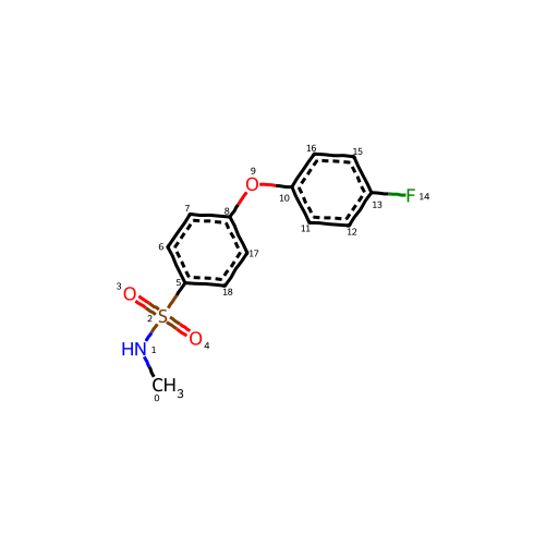 CNS(=O)(=O)c1ccc(Oc2ccc(F)cc2)cc1